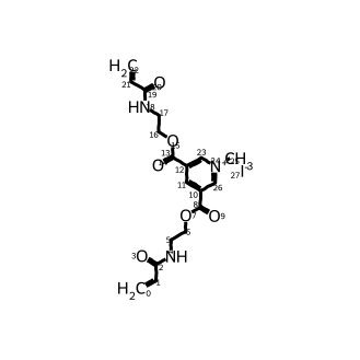 C=CC(=O)NCCOC(=O)c1cc(C(=O)OCCNC(=O)C=C)c[n+](C)c1.[I-]